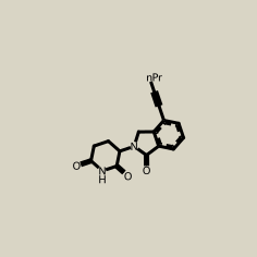 CCCC#Cc1cccc2c1CN(C1CCC(=O)NC1=O)C2=O